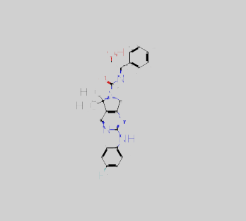 CC1(C)c2cnc(Nc3ccc(F)cc3)nc2CN1C(=O)N[C@H](CO)c1ccccc1